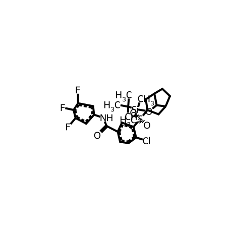 CC(C)(C)[Si](C)(C)OC1C2CCC1CC(S(=O)(=O)c1cc(C(=O)Nc3cc(F)c(F)c(F)c3)ccc1Cl)C2